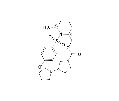 C[C@@H]1CCC[C@H](COC(=O)N2CCC(N3CCCC3)C2)N1S(=O)(=O)c1ccc(Cl)cc1